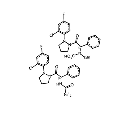 CC(C)(C)N(C(=O)O)[C@H](C(=O)N1CCCN1c1ccc(F)cc1Cl)c1ccccc1.NC(=O)N[C@H](C(=O)N1CCCN1c1ccc(F)cc1Cl)c1ccccc1